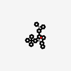 c1ccc(-c2cc3ccccc3cc2-n2c3ccc(-c4ccc5c(c4)c4ccccc4n5-c4ccccc4)cc3c3cc(C(c4ccccc4)(c4ccccc4)c4ccccc4)ccc32)cc1